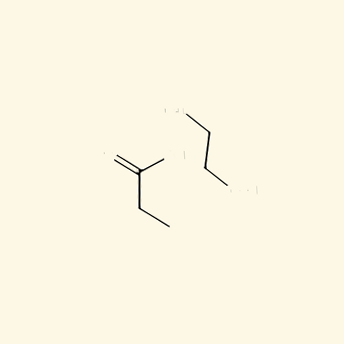 CC(C)(C)CCC(=O)O.CCC(=O)O